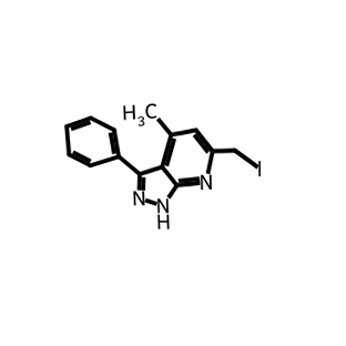 Cc1cc(CI)nc2[nH]nc(-c3ccccc3)c12